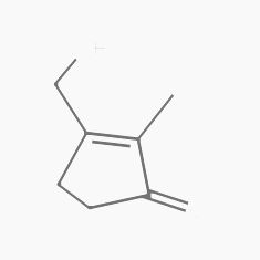 CC1=C(CO)CCC1=O